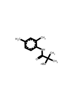 CCCCC(C)(C)C(=O)Nc1ccc(C)cc1C